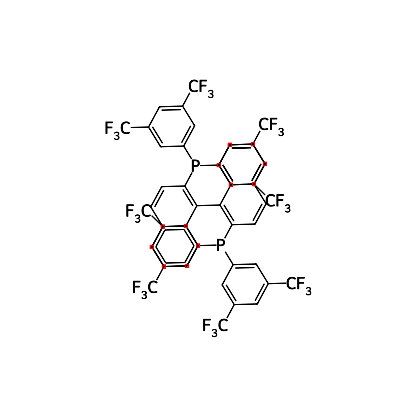 FC(F)(F)c1cc(P(c2cc(C(F)(F)F)cc(C(F)(F)F)c2)c2ccc3ccccc3c2-c2c(P(c3cc(C(F)(F)F)cc(C(F)(F)F)c3)c3cc(C(F)(F)F)cc(C(F)(F)F)c3)ccc3ccccc23)cc(C(F)(F)F)c1